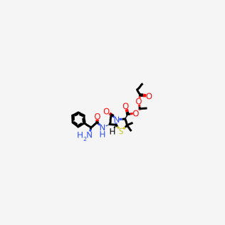 CCC(=O)OC(C)OC(=O)[C@@H]1N2C(=O)[C@@H](NC(=O)C(N)c3ccccc3)[C@H]2SC1(C)C